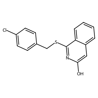 Oc1cc2ccccc2c(SCc2ccc(Cl)cc2)n1